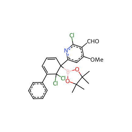 COc1cc(C2(B3OC(C)(C)C(C)(C)O3)C=CC=C(c3ccccc3)C2(Cl)Cl)nc(Cl)c1C=O